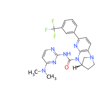 CN(C)c1ccnc(NC(=O)N2c3nc(-c4cccc(C(F)(F)F)c4)ccc3N3CC[C@H]2C3)n1